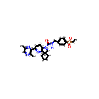 CCS(=O)(=O)c1ccc(CNC(=O)N2CC3(CCCC3)c3nc(-c4nc(C)cnc4C)ccc32)cc1